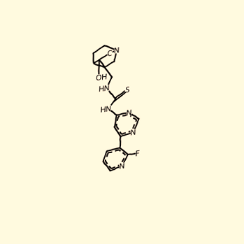 OC1(CNC(=S)Nc2cc(-c3cccnc3F)ncn2)CN2CCC1CC2